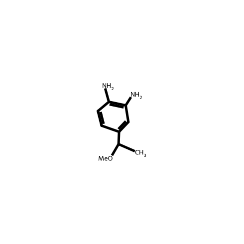 COC(C)c1ccc(N)c(N)c1